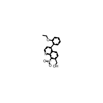 CCOc1ccccc1-c1ccnc2c([N+](=O)[O-])c(CO)ccc12